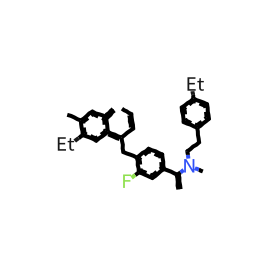 C=C(c1ccc(CC(/C=C\C)=c2\cc(CC)c(C)cc2=C)c(F)c1)N(C)CCc1ccc(CC)cc1